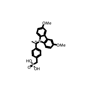 COc1ccc2c(c1)c1cc(OC)ccc1n2[C@H](C)c1ccc(CP(=O)(O)O)cc1